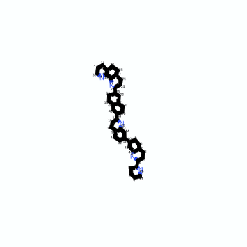 c1ccc(-c2ccc3ccc(-c4ccc5ccc(-c6ccc7cc(-c8ccc9ccc%10cccnc%10c9n8)ccc7c6)nc5c4)cc3n2)nc1